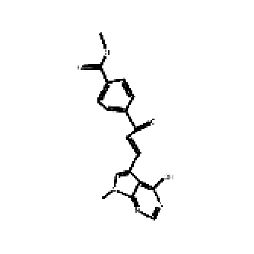 COC(=O)c1ccc(C(=O)C=Cc2cn(C)c3ncnc(O)c23)cc1